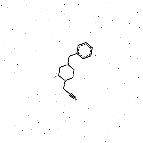 C[C@@H]1CN(Cc2ccccc2)CCN1CC#N